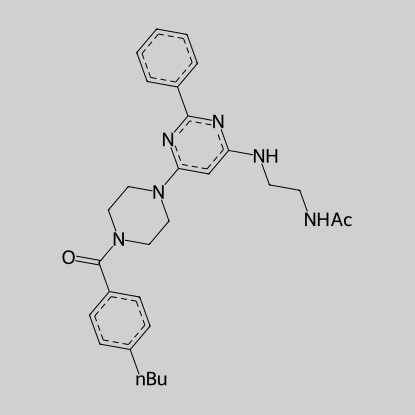 CCCCc1ccc(C(=O)N2CCN(c3cc(NCCNC(C)=O)nc(-c4ccccc4)n3)CC2)cc1